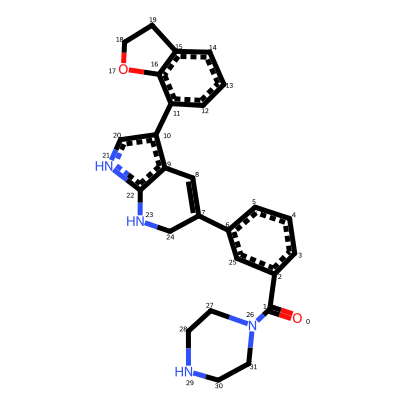 O=C(c1cccc(C2=Cc3c(-c4cccc5c4OCC5)c[nH]c3NC2)c1)N1CCNCC1